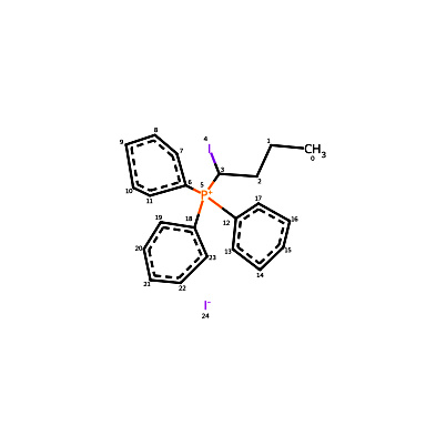 CCCC(I)[P+](c1ccccc1)(c1ccccc1)c1ccccc1.[I-]